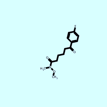 CON(C)C(=O)CCCCC(=O)c1ccc(F)cc1